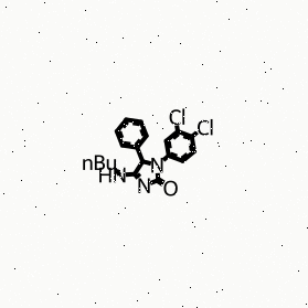 CCCCNC1=NC(=O)N(c2ccc(Cl)c(Cl)c2)C1c1ccccc1